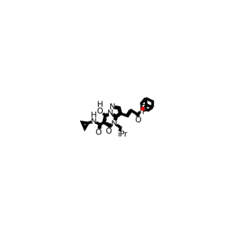 CC(C)Cn1c(=O)c(C(=O)NC2CC2)c(O)n2ncc(/C=C/C(=O)N3CC4CC(C3)C4(F)F)c12